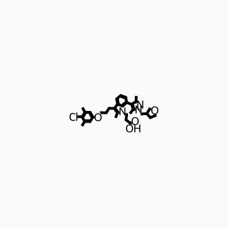 Cc1cc(OCCCc2c(C)n(CCC(=O)O)c3c(-c4c(C)nn(CC5CCOC5)c4C)cccc23)cc(C)c1Cl